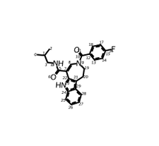 CC(C)CNC(=O)C1=CN(C(=O)c2ccc(F)cc2)CCc2c1[nH]c1ccccc21